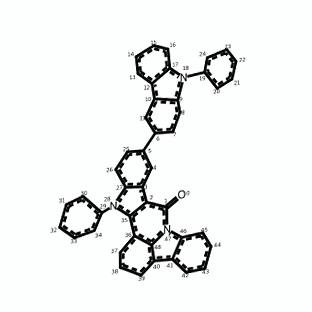 O=c1c2c3cc(-c4ccc5c(c4)c4ccccc4n5-c4ccccc4)ccc3n(-c3ccccc3)c2c2cccc3c4ccccc4n1c32